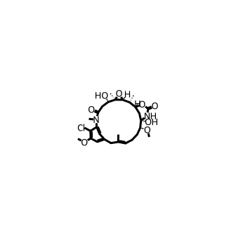 COc1cc2cc(c1Cl)N(C)C(=O)C[C@H](O)[C@@]1(C)O[C@H]1[C@H](C)[C@@H]1C[C@@](O)(NC(=O)O1)[C@H](OC)CC/C=C(\C)C2